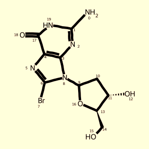 Nc1nc2c(nc(Br)n2C2C[C@H](O)[C@@H](CO)O2)c(=O)[nH]1